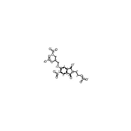 O=C1c2cc(OCC(CO[N+](=O)[O-])O[N+](=O)[O-])c([N+](=O)[O-])cc2C(=O)N1CCO[N+](=O)[O-]